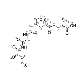 CCOC(=O)[C@@H](C)NC(=O)CNC(=O)C[C@H](CC)CC(C)C(=O)CC[C@H](N)C(=O)O